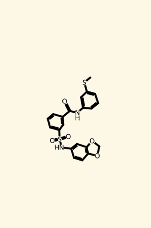 CSc1cccc(NC(=O)c2cccc(S(=O)(=O)Nc3ccc4c(c3)OCO4)c2)c1